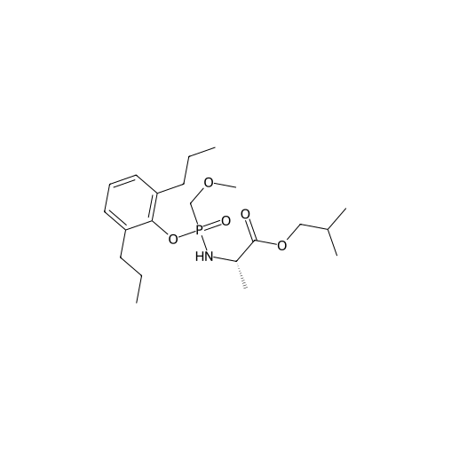 CCCc1cccc(CCC)c1OP(=O)(COC)N[C@@H](C)C(=O)OCC(C)C